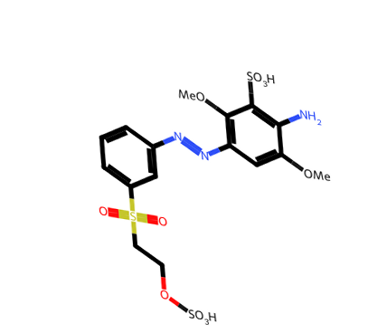 COc1cc(N=Nc2cccc(S(=O)(=O)CCOS(=O)(=O)O)c2)c(OC)c(S(=O)(=O)O)c1N